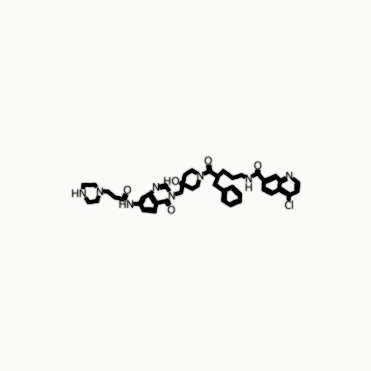 O=C(CCN1CCNCC1)Nc1ccc2c(=O)n(CC3(O)CCN(C(=O)C(CCCNC(=O)c4ccc5c(Cl)ccnc5c4)Cc4ccccc4)CC3)cnc2c1